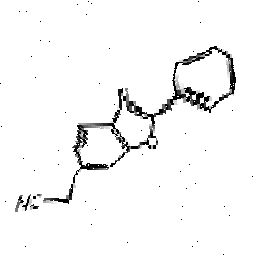 N#CCc1ccc2nc(-c3ccccc3)oc2c1